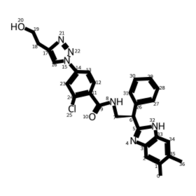 Cc1cc2nc([C@@H](CNC(=O)c3ccc(-n4cc(CCO)nn4)cc3Cl)c3ccccc3)[nH]c2cc1C